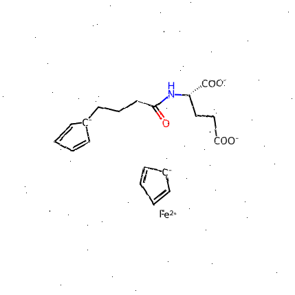 O=C([O-])CC[C@H](NC(=O)CCC[c-]1cccc1)C(=O)[O-].[Fe+2].c1cc[cH-]c1